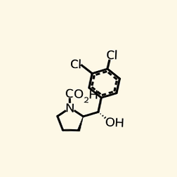 O=C(O)N1CCC[C@@H]1[C@@H](O)c1ccc(Cl)c(Cl)c1